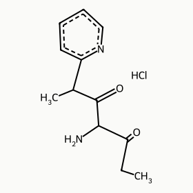 CCC(=O)C(N)C(=O)C(C)c1ccccn1.Cl